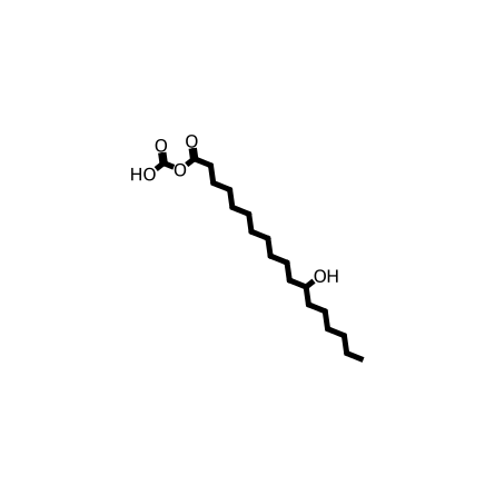 CCCCCCC(O)CCCCCCCCCCC(=O)OC(=O)O